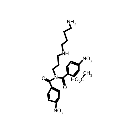 CC(=O)O.NCCCCNCCCN(C(=O)c1ccc([N+](=O)[O-])cc1)C(=O)c1ccc([N+](=O)[O-])cc1